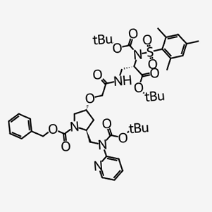 Cc1cc(C)c(S(=O)(=O)N(C(=O)OC(C)(C)C)[C@@H](CNC(=O)CO[C@@H]2C[C@@H](CN(C(=O)OC(C)(C)C)c3ccccn3)N(C(=O)OCc3ccccc3)C2)C(=O)OC(C)(C)C)c(C)c1